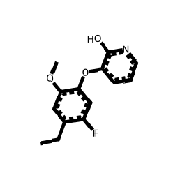 CCc1cc(OC)c(Oc2cccnc2O)cc1F